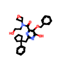 O=C(c1nc(CC2(c3ccccc3)CCCC2)nc(O)c1OCc1ccccc1)N(CCO)C1COC1